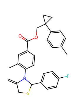 C=C1CSC(c2ccc(F)cc2)N1c1ccc(C(=O)OCC2(c3ccc(C)cc3)CC2)cc1C